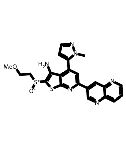 COCC[S+]([O-])c1sc2nc(-c3cnc4cccnc4c3)cc(-c3ccnn3C)c2c1N